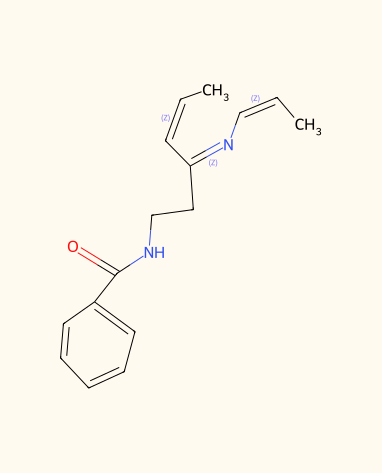 C\C=C/N=C(\C=C/C)CCNC(=O)c1ccccc1